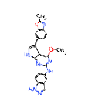 COc1nc(Nc2ccc3[nH]ncc3c2)nc2[nH]cc(-c3ccc4nc(C)oc4c3)c12